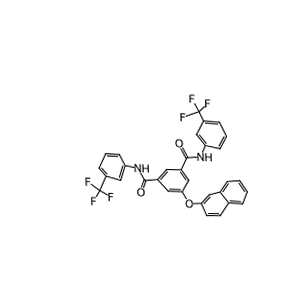 O=C(Nc1cccc(C(F)(F)F)c1)c1cc(Oc2ccc3ccccc3c2)cc(C(=O)Nc2cccc(C(F)(F)F)c2)c1